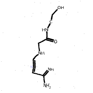 N=C(N)/C=C\NCC(=O)NCCO